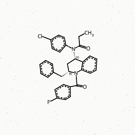 CCC(=O)N(c1ccc(Cl)cc1)[C@H]1C[C@@H](Cc2ccccc2)N(C(=O)c2ccc(F)cc2)c2ccccc21